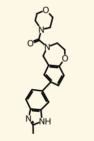 Cc1nc2ccc(-c3ccc4c(c3)CN(C(=O)N3CCOCC3)CCO4)cc2[nH]1